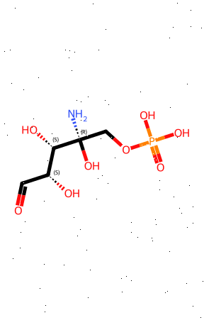 N[C@@](O)(COP(=O)(O)O)[C@@H](O)[C@H](O)C=O